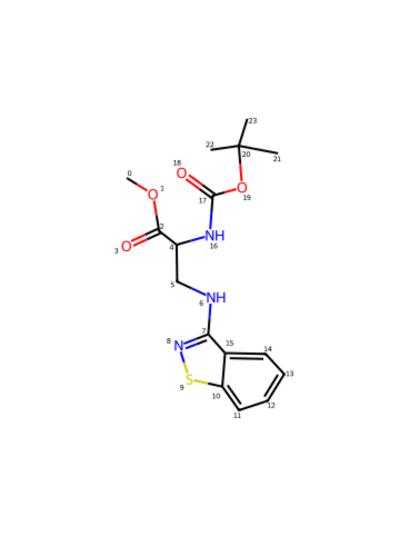 COC(=O)C(CNc1nsc2ccccc12)NC(=O)OC(C)(C)C